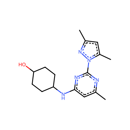 Cc1cc(NC2CCC(O)CC2)nc(-n2nc(C)cc2C)n1